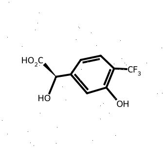 O=C(O)[C@H](O)c1ccc(C(F)(F)F)c(O)c1